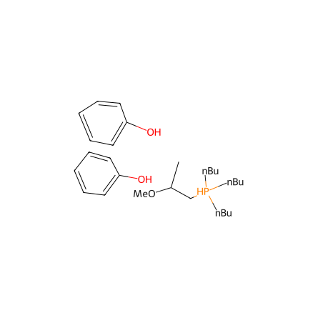 CCCC[PH](CCCC)(CCCC)CC(C)OC.Oc1ccccc1.Oc1ccccc1